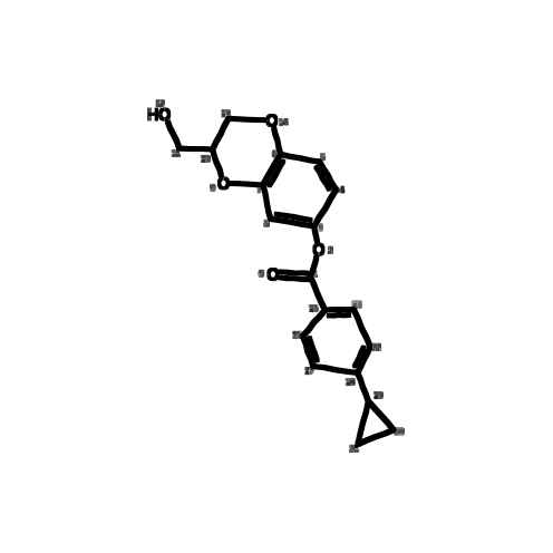 O=C(Oc1ccc2c(c1)OC(CO)CO2)c1ccc(C2CC2)cc1